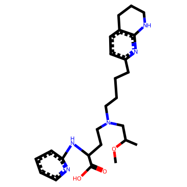 COC(C)CN(CCCCc1ccc2c(n1)NCCC2)CCC(Nc1ccccn1)C(=O)O